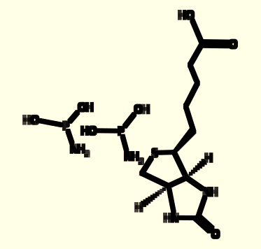 NP(O)O.NP(O)O.O=C(O)CCCC[C@@H]1SC[C@@H]2NC(=O)N[C@@H]21